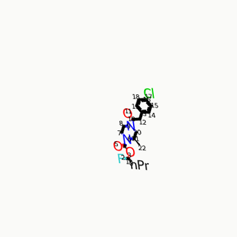 CCCC(F)OC(=O)N1CCN(C(=O)Cc2ccc(Cl)cc2)C[C@H]1C